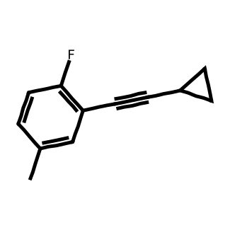 Cc1ccc(F)c(C#CC2CC2)c1